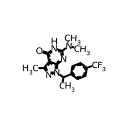 Cc1nn(C(C)c2ccc(C(F)(F)F)cc2)c2nc(N(C)C)[nH]c(=O)c12